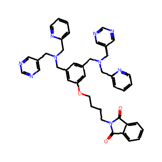 O=C1c2ccccc2C(=O)N1CCCCOc1cc(CN(Cc2cncnc2)Cc2ccccn2)cc(CN(Cc2cncnc2)Cc2ccccn2)c1